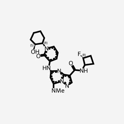 CNc1cc(Nc2cccn([C@@H]3CCCC[C@@H]3O)c2=O)nc2c(C(=O)NC3CC[C@H]3F)cnn12